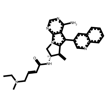 C=C1c2c(-c3cnc4ccccc4c3)c3c(N)ncnc3n2C[C@H]1NC(=O)C=CCN(C)CC